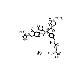 CCN1CCN(C(=O)N[C@H](C(=O)N[C@@H]2C(=O)N3C(C(=O)[O-])=C(CSc4nnnn4C)CS[C@@H]23)c2ccc(CNC(=O)OC[C@@H](N)C(=O)[O-])cc2)C(=O)C1=O.[Na+].[Na+]